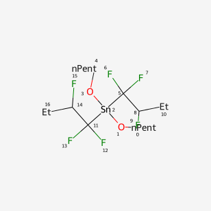 CCCCC[O][Sn]([O]CCCCC)([C](F)(F)C(F)CC)[C](F)(F)C(F)CC